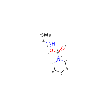 CSCNOC(=O)N1CCCCC1